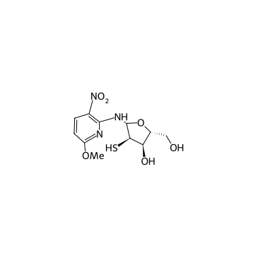 COc1ccc([N+](=O)[O-])c(N[C@@H]2O[C@H](CO)[C@@H](O)[C@H]2S)n1